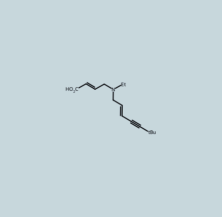 CCN(CC=CC#CC(C)(C)C)C/C=C/C(=O)O